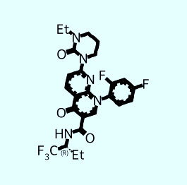 CC[C@@H](NC(=O)c1cn(-c2ccc(F)cc2F)c2nc(N3CCCN(CC)C3=O)ccc2c1=O)C(F)(F)F